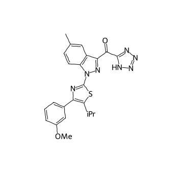 COc1cccc(-c2nc(-n3nc(C(=O)c4nnn[nH]4)c4cc(C)ccc43)sc2C(C)C)c1